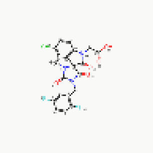 CN1C(=O)N(Cc2cc(F)ccc2F)C(=O)C12C(=O)N(CC(=O)O)c1ccc(Cl)cc12